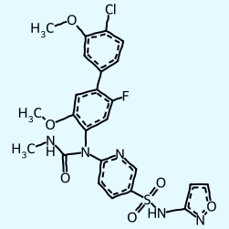 CNC(=O)N(c1ccc(S(=O)(=O)Nc2ccon2)cn1)c1cc(F)c(-c2ccc(Cl)c(OC)c2)cc1OC